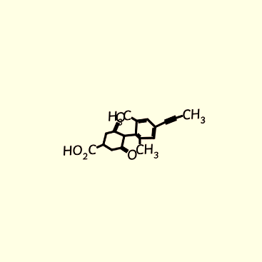 CC#Cc1cc(C)c(C2C(=O)CC(C(=O)O)CC2=O)c(C)c1